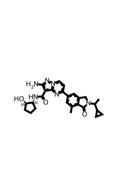 Cc1cc(-c2ccn3nc(N)c(C(=O)N[C@@H]4CCC[C@H]4O)c3n2)cc2c1C(=O)N(C(C)C1CC1)C2